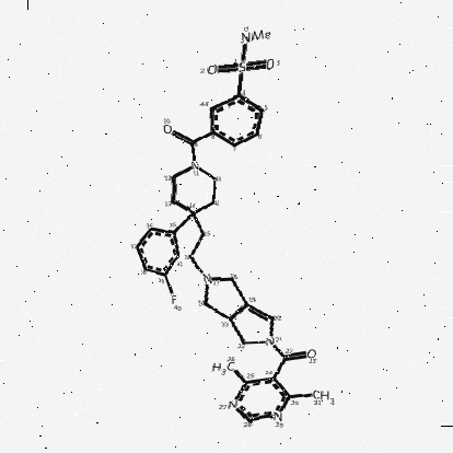 CNS(=O)(=O)c1cccc(C(=O)N2CCC(CCN3CC4=CN(C(=O)c5c(C)ncnc5C)CC4C3)(c3cccc(F)c3)CC2)c1